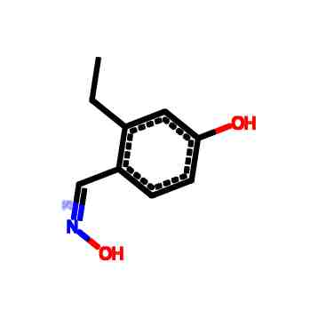 CCc1cc(O)ccc1/C=N\O